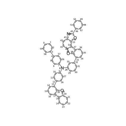 c1ccc(-c2ccc(N(c3ccc(-c4cccc5c4oc4ccccc45)cc3)c3cccc(-c4cccc5c4oc4ccc6nc(-c7ccccc7)oc6c45)c3)cc2)cc1